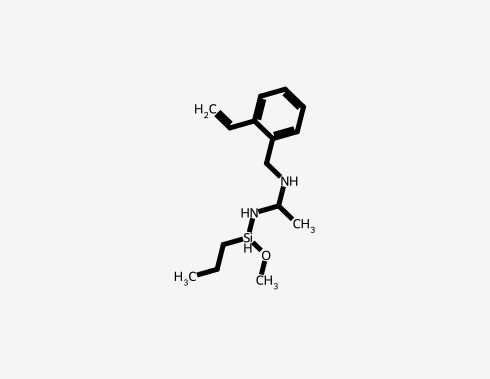 C=Cc1ccccc1CNC(C)N[SiH](CCC)OC